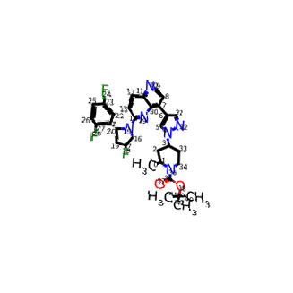 CC1CC(n2cc(-c3ccnc4ccc(N5C[C@@H](F)C[C@@H]5c5cc(F)ccc5F)nc34)cn2)CCN1C(=O)OC(C)(C)C